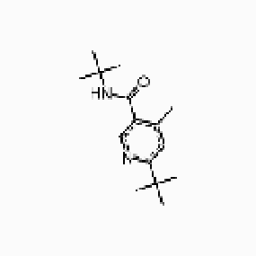 Cc1cc(C(C)(C)C)ncc1C(=O)NC(C)(C)C